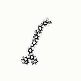 Cn1cc(-c2cc(N3CCCS3(=O)=O)ccc2Oc2ccc(CCC3CCN(c4ccc(C(=O)N[C@H]5CC[C@H](Oc6ccc(C#N)c(Cl)c6)CC5)nn4)CC3)cc2)c2cc[nH]c2c1=O